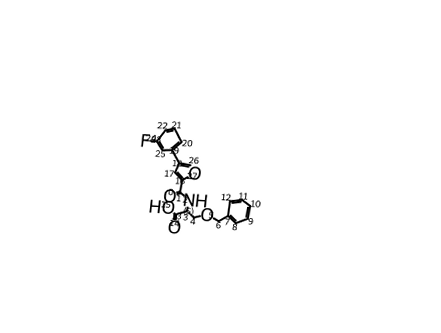 O=C(N[C@@H](COCc1ccccc1)C(=O)O)c1cc(-c2cccc(F)c2)co1